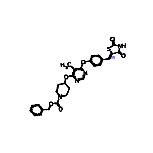 Cc1c(Oc2ccc(/C=C3\SC(=O)NC3=O)cc2)ncnc1OC1CCN(C(=O)OCc2ccccc2)CC1